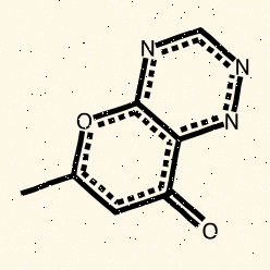 Cc1cc(=O)c2nncnc2o1